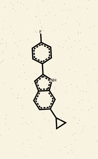 Fc1ccc(-c2cc3ccc(C4CC4)cc3[nH]2)cc1